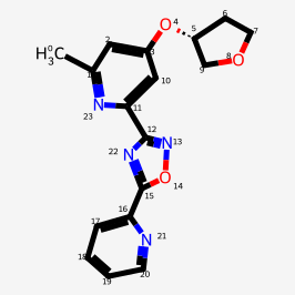 Cc1cc(O[C@@H]2CCOC2)cc(-c2noc(-c3ccccn3)n2)n1